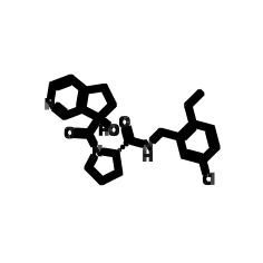 CCc1ccc(Cl)cc1CNC(=O)[C@@H]1CCCN1C(=O)C1(O)CCc2ccncc21